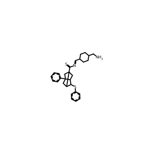 NCC1CCC(/C=N/C(=S)C23CC4C(Sc5ccccc5)C2CC4(c2ccccc2)C3)CC1